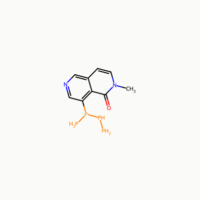 Cn1ccc2cncc(P(P)PP)c2c1=O